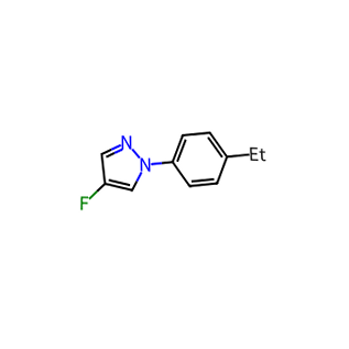 CCc1ccc(-n2cc(F)cn2)cc1